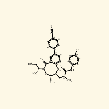 C[C@H](CO)N1C[C@H](C)[C@H](CN(C)C(=O)Nc2ccc(F)cc2)Oc2ncc(-c3ccc(C#N)cc3)cc2C1=O